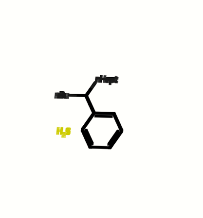 CCCCCCCC(CCCC)c1ccccc1.S